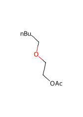 CCCCCOCCOC(C)=O